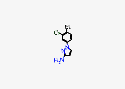 CCc1ccc(-n2ccc(N)n2)cc1Cl